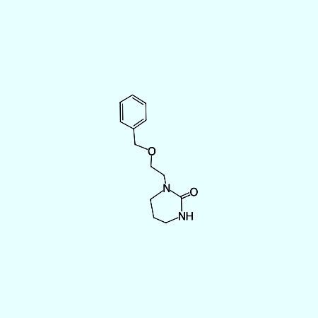 O=C1NCCCN1CCOCc1ccccc1